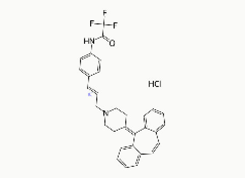 Cl.O=C(Nc1ccc(/C=C/CN2CCC(=C3c4ccccc4C=Cc4ccccc43)CC2)cc1)C(F)(F)F